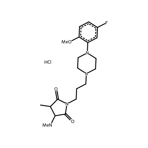 CNC1C(=O)N(CCCN2CCN(c3cc(F)ccc3OC)CC2)C(=O)C1C.Cl